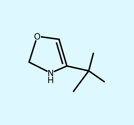 CC(C)(C)C1=COCN1